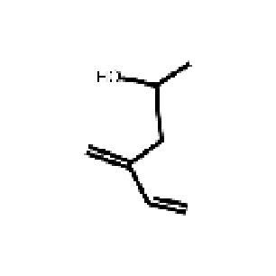 C=CC(=C)CC(C)O